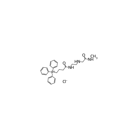 CNC(=O)CNCCNC(=O)CCC[P+](c1ccccc1)(c1ccccc1)c1ccccc1.[Cl-]